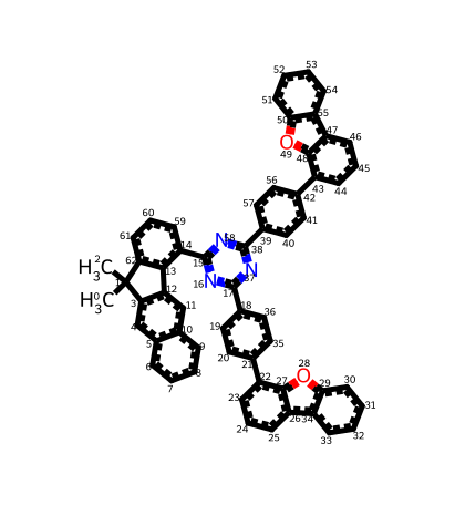 CC1(C)c2cc3ccccc3cc2-c2c(-c3nc(-c4ccc(-c5cccc6c5oc5ccccc56)cc4)nc(-c4ccc(-c5cccc6c5oc5ccccc56)cc4)n3)cccc21